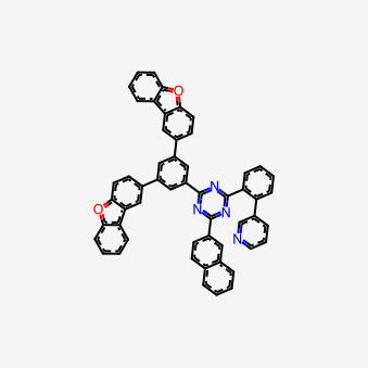 c1cncc(-c2ccccc2-c2nc(-c3cc(-c4ccc5oc6ccccc6c5c4)cc(-c4ccc5oc6ccccc6c5c4)c3)nc(-c3ccc4ccccc4c3)n2)c1